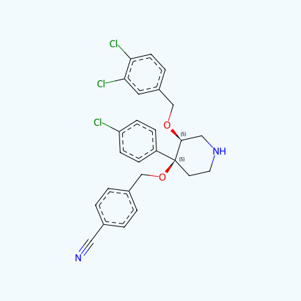 N#Cc1ccc(CO[C@]2(c3ccc(Cl)cc3)CCNC[C@@H]2OCc2ccc(Cl)c(Cl)c2)cc1